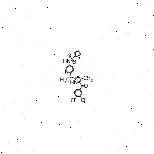 Cc1cc(C(C)c2ccc(NS(=O)(=O)c3cccs3)cn2)[nH]c1C(=O)c1ccc(Cl)c(Cl)c1